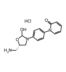 Cl.NC[C@H]1CN(c2ccc(-n3ccccc3=O)cc2)C(O)O1